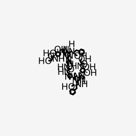 O=C(CO)N[C@H]1C[C@@H](n2cnc3c(N[C@H](CO)Cc4ccccc4)nc(-n4cnc(NC(=O)Nc5cn(-c6nc(N[C@H](CO)Cc7ccccc7)c7ncn([C@@H]8C[C@H](NC(=O)CO)[C@@H](O)[C@H]8O)c7n6)cn5)c4)nc32)[C@H](O)[C@@H]1O